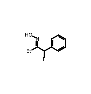 CCC(=NO)C(F)c1ccccc1